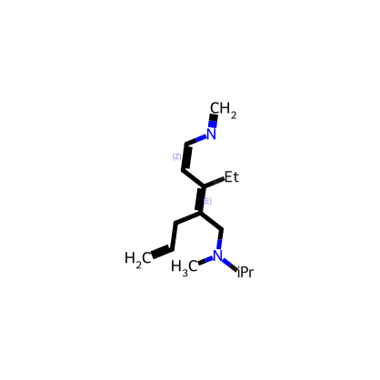 C=CC/C(CN(C)C(C)C)=C(\C=C/N=C)CC